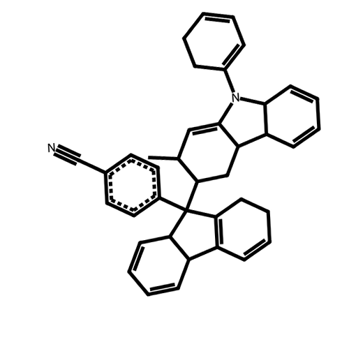 CC1C=C2C(CC1C1(c3ccc(C#N)cc3)C3=C(C=CCC3)C3C=CC=CC31)C1C=CC=CC1N2C1=CC=CCC1